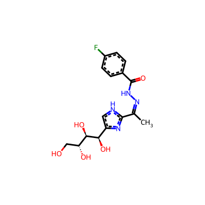 CC(=NNC(=O)c1ccc(F)cc1)c1nc([C@@H](O)[C@H](O)[C@H](O)CO)c[nH]1